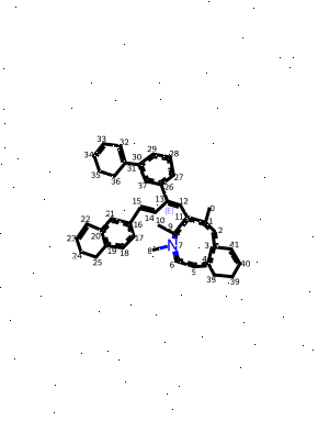 Cc1cc2c(ccn(C)c(C)c1/C=C(\C=Cc1ccc3c(c1)C=CCC3)c1cccc(C3=CC=CCC3)c1)CCC=C2